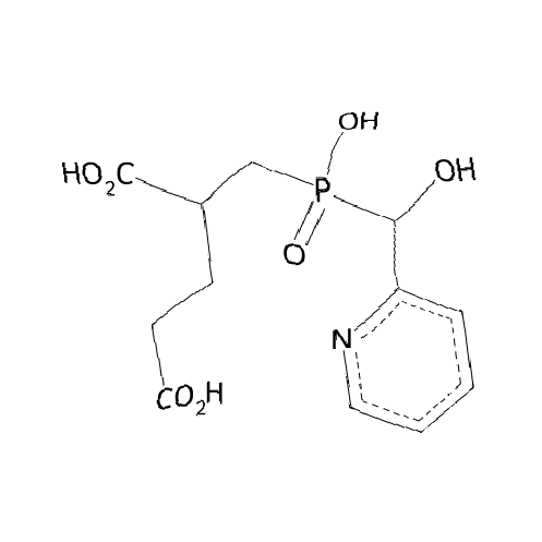 O=C(O)CCC(CP(=O)(O)C(O)c1ccccn1)C(=O)O